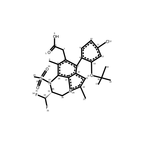 Cc1c(CC(=O)O)c(-c2ccc(Cl)cc2OC(C)(C)C)c2cc(C)n3c2c1N(S(C)(=O)=O)[C@@H](C(F)F)C3